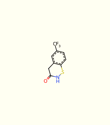 O=C1Cc2cc(C(F)(F)F)ccc2SN1